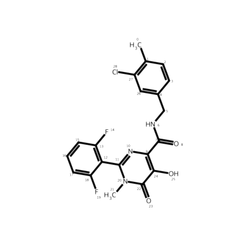 Cc1ccc(CNC(=O)c2nc(-c3c(F)cccc3F)n(C)c(=O)c2O)cc1Cl